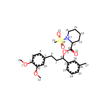 COc1ccc(CCC(OC(=O)C2CCCCN2S(C)(=O)=O)c2cccc(C)c2)cc1OC